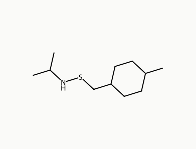 CC1CCC(CSNC(C)C)CC1